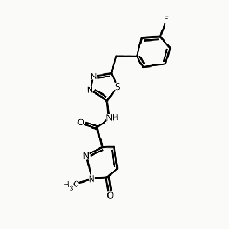 Cn1nc(C(=O)Nc2nnc(Cc3cccc(F)c3)s2)ccc1=O